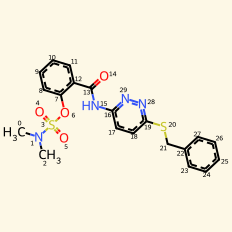 CN(C)S(=O)(=O)Oc1ccccc1C(=O)Nc1ccc(SCc2ccccc2)nn1